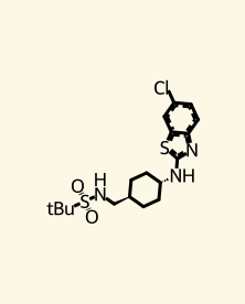 CC(C)(C)S(=O)(=O)NC[C@H]1CC[C@H](Nc2nc3ccc(Cl)cc3s2)CC1